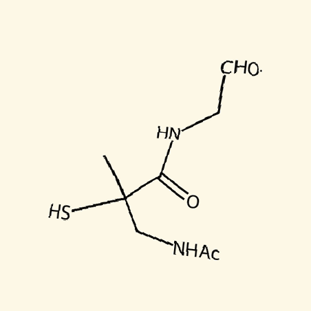 CC(=O)NCC(C)(S)C(=O)NC[C]=O